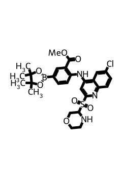 COC(=O)c1cc(B2OC(C)(C)C(C)(C)O2)ccc1Nc1cc(S(=O)(=O)C2COCCN2)nc2ccc(Cl)cc12